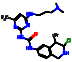 CCCC1c2cc(NC(=O)Nc3nc(NCCCN(C)C)cc(C(F)(F)F)n3)ccc2CNC1Cl